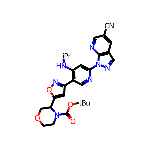 CC(C)Nc1cc(-n2ncc3cc(C#N)cnc32)ncc1-c1cc(C2COCCN2C(=O)OC(C)(C)C)on1